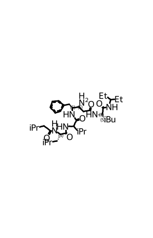 CCC(CC)NC(=O)[C@@H](NC(=O)C[C@H](N)[C@H](Cc1ccccc1)NC(=O)C(NC(=O)[C@H](CC(C)C)NC(=O)CC(C)C)C(C)C)[C@@H](C)CC